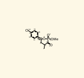 COP(=O)(OC)C(=O)C(C)COc1ccc(Cl)cc1